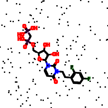 O=c1ccn([C@@H]2O[C@H](COP(=O)(O)CP(=O)(O)O)C(O)[C@@H]2O)c(=O)n1CCc1ccc(F)cc1F